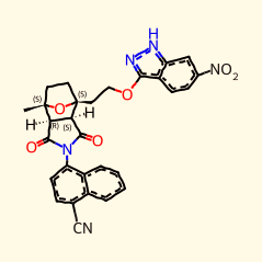 C[C@@]12CC[C@@](CCOc3n[nH]c4cc([N+](=O)[O-])ccc34)(O1)[C@H]1C(=O)N(c3ccc(C#N)c4ccccc34)C(=O)[C@H]12